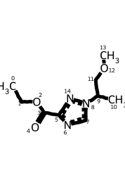 CCOC(=O)c1ncn(C(C)COC)n1